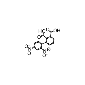 O=C(O)c1cccc(-c2ccc([N+](=O)[O-])cc2[N+](=O)[O-])c1C(=O)O